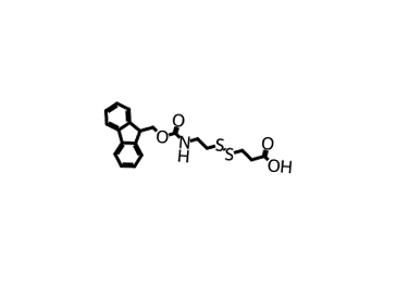 O=C(O)CCSSCCNC(=O)OCC1c2ccccc2-c2ccccc21